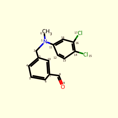 CN(Cc1cccc(C=O)c1)c1ccc(Cl)c(Cl)c1